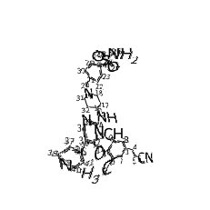 Cc1cc(C=CC#N)cc(C)c1Oc1nc(NC2CCN(Cc3ccc(S(N)(=O)=O)cc3)CC2)ncc1-c1ccncc1